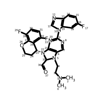 CN(C)CCN1c2cnc(-n3cnc4ccc(F)cc43)nc2N([C@@H]2CCOc3c(F)ccc(F)c32)C1C=O